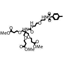 COC(=O)CCOCC(COCCC(=O)OC)(COCCC(=O)OC)NC(=O)NCCOCCNS(=O)(=O)c1ccc(C)cc1